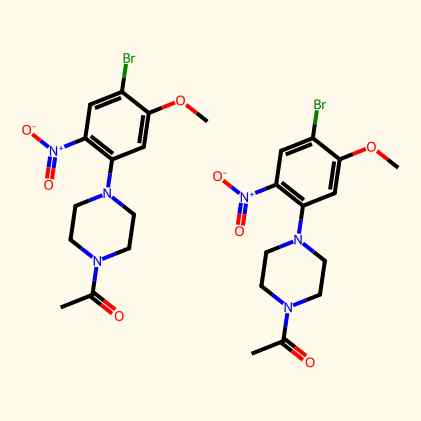 COc1cc(N2CCN(C(C)=O)CC2)c([N+](=O)[O-])cc1Br.COc1cc(N2CCN(C(C)=O)CC2)c([N+](=O)[O-])cc1Br